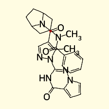 Cc1c(C(=O)N2C3CCC2CC(N(C)C(=O)c2ccccc2)C3)cnn1-c1nn2cccc2c(=O)[nH]1